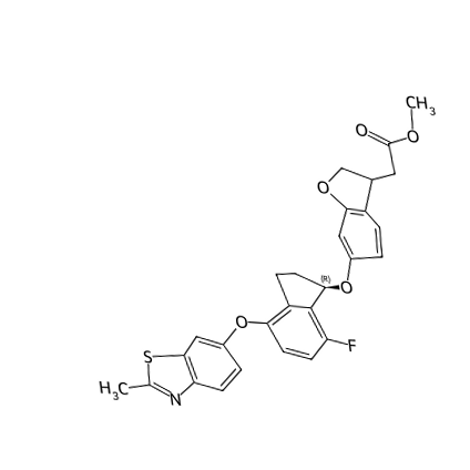 COC(=O)CC1COc2cc(O[C@@H]3CCc4c(Oc5ccc6nc(C)sc6c5)ccc(F)c43)ccc21